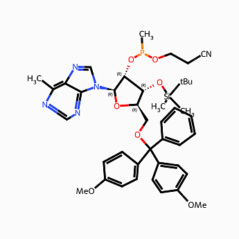 COc1ccc(C(OC[C@H]2O[C@@H](n3cnc4c(C)ncnc43)[C@H](OP(C)OCCC#N)[C@@H]2O[Si](C)(C)C(C)(C)C)(c2ccccc2)c2ccc(OC)cc2)cc1